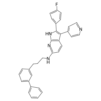 Fc1ccc(-c2[nH]c3nc(NCCCc4cccc(-c5ccccc5)c4)ccc3c2-c2ccncc2)cc1